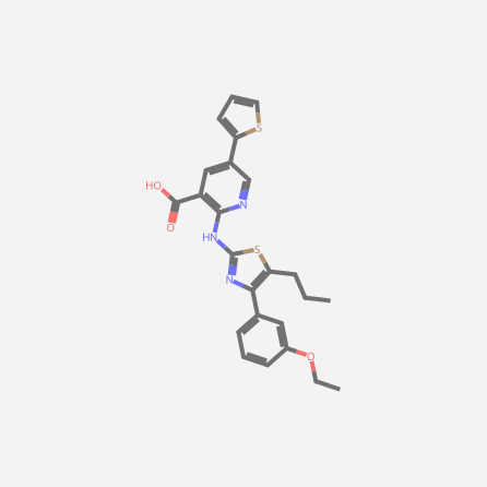 CCCc1sc(Nc2ncc(-c3cccs3)cc2C(=O)O)nc1-c1cccc(OCC)c1